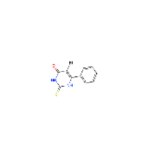 CCc1c(-c2ccccc2)[nH]c(=S)[nH]c1=O